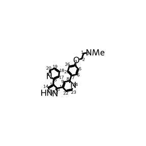 CNCCOc1ccc(-c2cc(-c3n[nH]cc3-c3ccccn3)ccn2)cc1